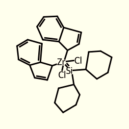 [Cl][Zr]([Cl])([CH]1C=Cc2ccccc21)([CH]1C=Cc2ccccc21)=[Si](C1CCCCC1)C1CCCCC1